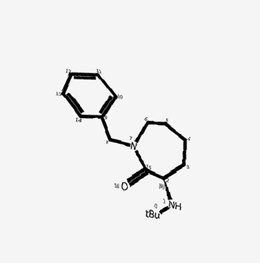 CC(C)(C)N[C@@H]1CCCCN(Cc2ccccc2)C1=O